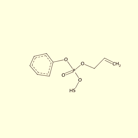 C=CCOP(=O)(OS)Oc1ccccc1